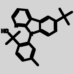 Cc1ccc(C(C)(C)O)c(-n2c3ccc(C(C)(C)C)cc3c3cccnc32)c1